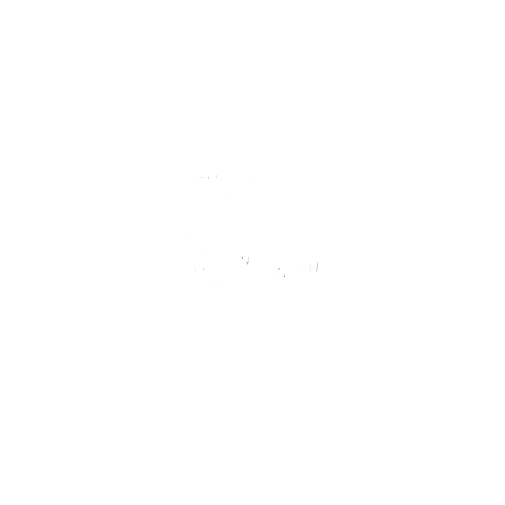 CNc1ccccc1C(=O)N[C@@H](CCC(=O)O)C(=O)O